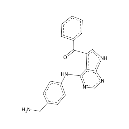 NCc1ccc(Nc2ncnc3[nH]cc(C(=O)c4ccccc4)c23)cc1